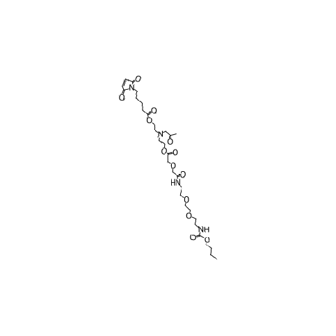 CCCCOC(=O)NCCOCCOCCNC(=O)COCC(=O)OCCN(CCOC(=O)CCCCN1C(=O)C=CC1=O)CC(C)=O